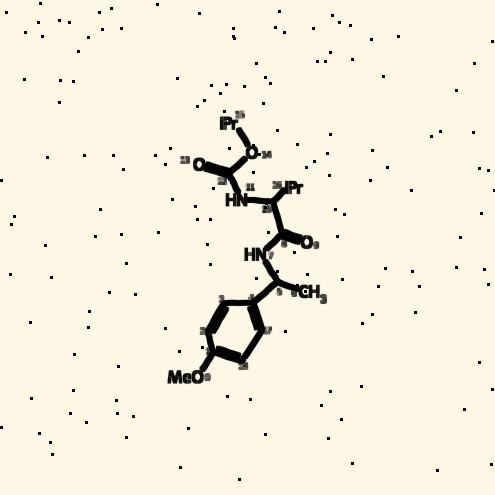 COc1ccc(C(C)NC(=O)C(NC(=O)OC(C)C)C(C)C)cc1